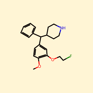 COc1ccc(C(c2ccccc2)C2CCNCC2)cc1OCCF